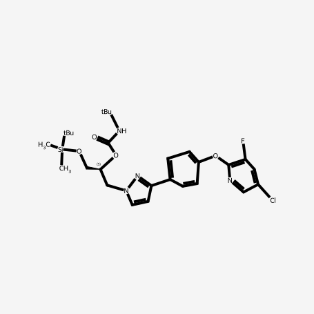 CC(C)(C)NC(=O)O[C@H](CO[Si](C)(C)C(C)(C)C)Cn1ccc(-c2ccc(Oc3ncc(Cl)cc3F)cc2)n1